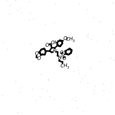 CCCN(CCN1CC(c2ccc3c(c2)OCO3)C(C(=O)O)C1c1ccc(OC)cc1)S(=O)(=O)c1ccccc1